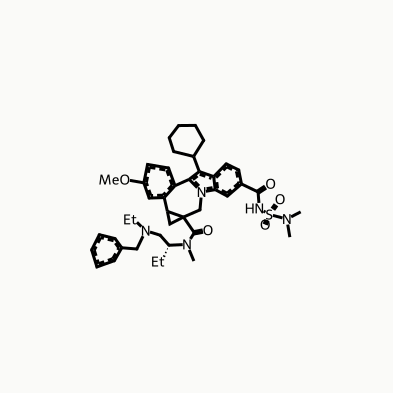 CC[C@H](CN(CC)Cc1ccccc1)N(C)C(=O)C12CC1c1cc(OC)ccc1-c1c(C3CCCCC3)c3ccc(C(=O)NS(=O)(=O)N(C)C)cc3n1C2